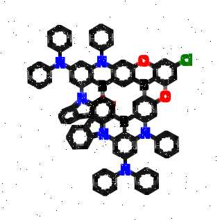 Clc1cc2c3c(c1)Oc1cc4c(cc1B3c1cc3c(cc1O2)N(c1ccccc1)c1cc(N(c2ccccc2)c2ccccc2)cc2c1B3c1cccc3c5ccccc5n-2c13)B1c2c(cc(N(c3ccccc3)c3ccccc3)cc2-n2c3ccccc3c3cccc1c32)N4c1ccccc1